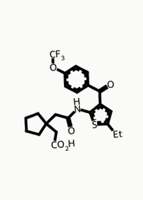 CCc1cc(C(=O)c2ccc(OC(F)(F)F)cc2)c(NC(=O)CC2(CC(=O)O)CCCC2)s1